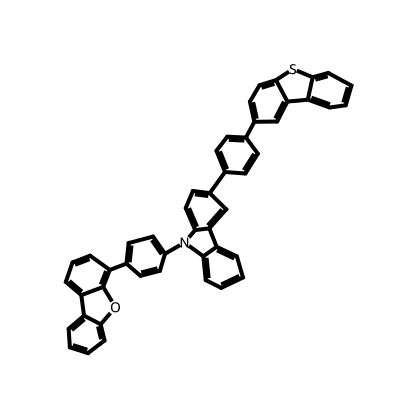 c1ccc2c(c1)oc1c(-c3ccc(-n4c5ccccc5c5cc(-c6ccc(-c7ccc8sc9ccccc9c8c7)cc6)ccc54)cc3)cccc12